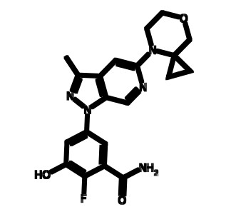 Cc1nn(-c2cc(O)c(F)c(C(N)=O)c2)c2cnc(N3CCOCC34CC4)cc12